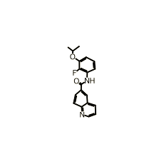 CC(C)Oc1cccc(NC(=O)c2ccc3ncccc3c2)c1F